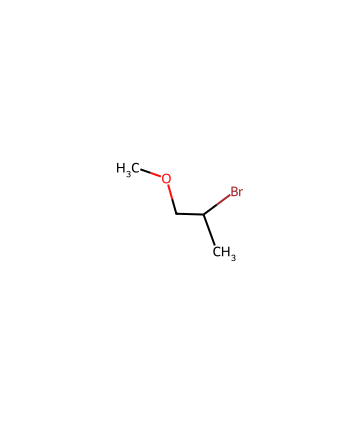 COCC(C)Br